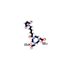 CC(C)(C)OC(=O)CN1CCN(CC(=O)OC(C)(C)C)CCN(C(=O)CCCCCN2C(=O)C=CC2=O)CC1